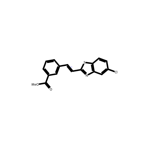 COC(=O)c1cccc(/C=C/c2nc3cc(Cl)ccc3s2)c1